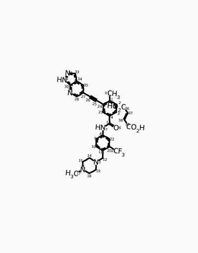 Cc1ccc(C(=O)Nc2ccc(CN3CCN(C)CC3)c(C(F)(F)F)c2)cc1C#Cc1cnc2[nH]ncc2c1.O=C(O)/C=C/C(=O)O